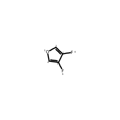 Fc1cocc1F